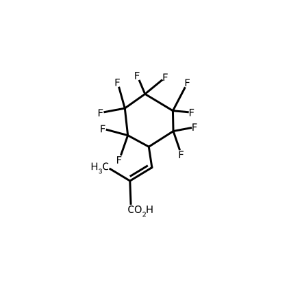 CC(=CC1C(F)(F)C(F)(F)C(F)(F)C(F)(F)C1(F)F)C(=O)O